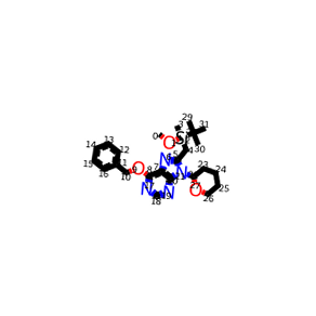 CO[Si](C)(Cc1nc2c(OCc3ccccc3)ncnc2n1C1CCCCO1)C(C)(C)C